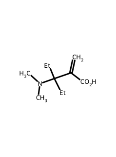 C=C(C(=O)O)C(CC)(CC)N(C)C